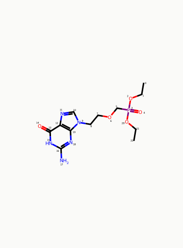 CCOP(=O)(COCCn1cnc2c(=O)[nH]c(N)nc21)OCC